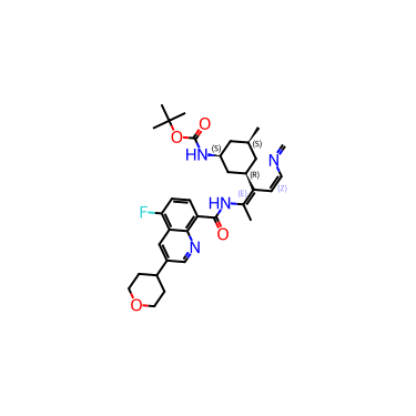 C=N/C=C\C(=C(/C)NC(=O)c1ccc(F)c2cc(C3CCOCC3)cnc12)[C@@H]1C[C@H](C)C[C@H](NC(=O)OC(C)(C)C)C1